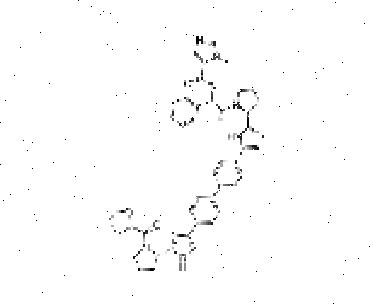 Cn1cncc1C(=O)N[C@@H](C(=O)N1CCC[C@H]1c1ncc(-c2ccc(-c3ccc(-c4c[nH]c([C@@H]5CCCN5C(=O)[C@H]5CCCO5)n4)cc3)cc2)[nH]1)c1ccccc1